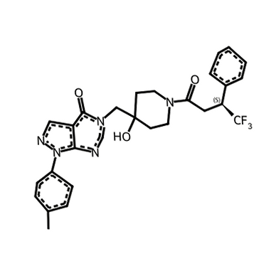 Cc1ccc(-n2ncc3c(=O)n(CC4(O)CCN(C(=O)C[C@@H](c5ccccc5)C(F)(F)F)CC4)cnc32)cc1